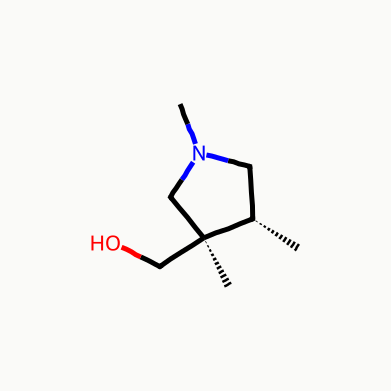 C[C@H]1CN(C)C[C@]1(C)CO